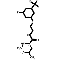 CN[C@H](CC(C)C)C(=O)NCCOC1CC(F)CC(C(F)(F)F)C1